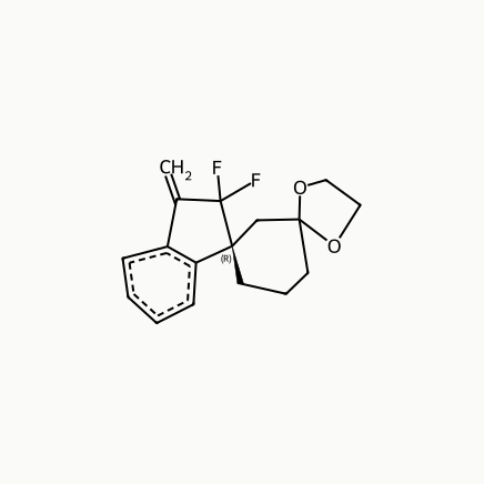 C=C1c2ccccc2[C@]2(CCCC3(C2)OCCO3)C1(F)F